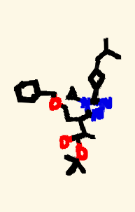 CC(C)C[C@H]1C[C@@H](c2nnc(C(CCOCc3ccccc3)C(C)C(=O)OC(C)(C)C)n2C2CC2)C1